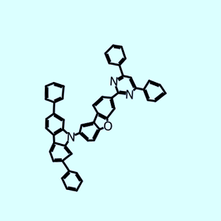 c1ccc(-c2ccc3c4ccc(-c5ccccc5)cc4n(-c4ccc5oc6cc(-c7nc(-c8ccccc8)cc(-c8ccccc8)n7)ccc6c5c4)c3c2)cc1